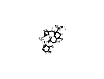 Cc1cc(Nc2cc(N[C@H](Cc3ccccc3F)C(N)=O)c(F)cc2C(N)=O)sn1